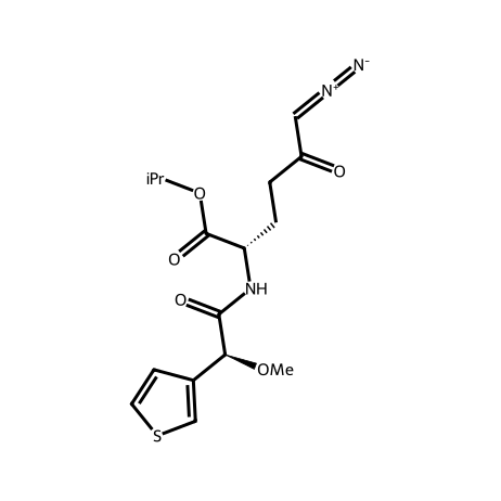 CO[C@H](C(=O)N[C@@H](CCC(=O)C=[N+]=[N-])C(=O)OC(C)C)c1ccsc1